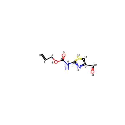 C=CCOC(=O)Nc1nc(C=O)cs1